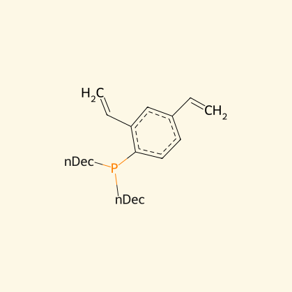 C=Cc1ccc(P(CCCCCCCCCC)CCCCCCCCCC)c(C=C)c1